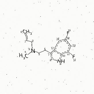 C=CCN(C)CCc1c[nH]c2c(F)cc(F)cc12